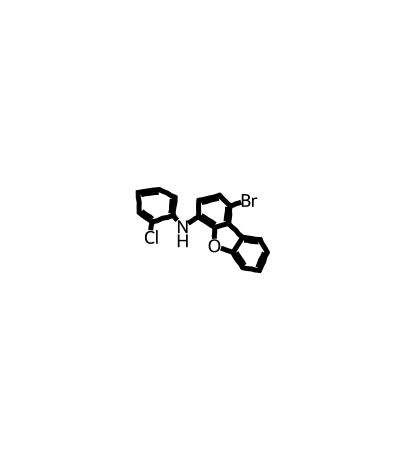 Clc1ccccc1Nc1ccc(Br)c2c1oc1ccccc12